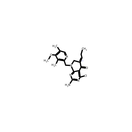 CC/C=C1\CN(Cc2ncc(C)c(OC)c2C)c2nc(N)nc(Cl)c2C1=O